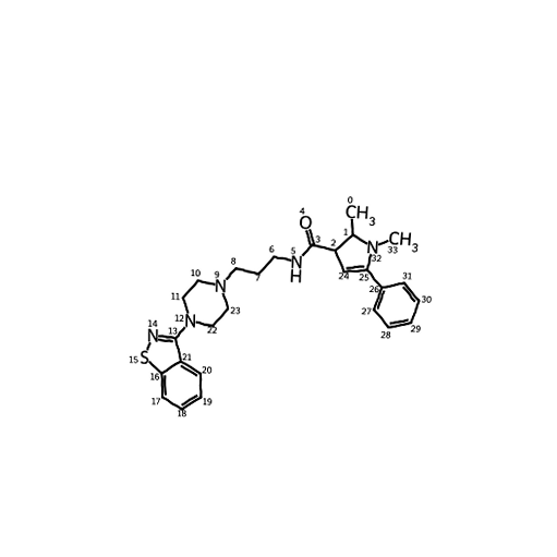 CC1C(C(=O)NCCCN2CCN(c3nsc4ccccc34)CC2)C=C(c2ccccc2)N1C